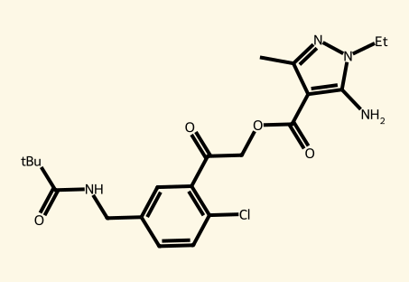 CCn1nc(C)c(C(=O)OCC(=O)c2cc(CNC(=O)C(C)(C)C)ccc2Cl)c1N